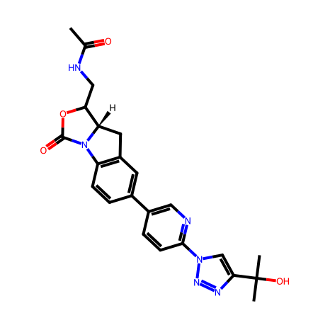 CC(=O)NCC1OC(=O)N2c3ccc(-c4ccc(-n5cc(C(C)(C)O)nn5)nc4)cc3C[C@@H]12